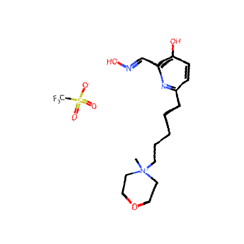 C[N+]1(CCCCCc2ccc(O)c(C=NO)n2)CCOCC1.O=S(=O)([O-])C(F)(F)F